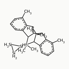 CC1=Cc2c(C)cccc2[CH]1[Hf]([CH3])([CH3])([CH]1C(C)=Cc2c(C)cccc21)=[Si]1[SiH2][SiH2]1